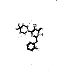 C=C1NC(Cc2ccccc2Cl)=NC(N2CCC(C)(C)CC2)=C1C#N